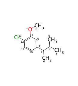 COc1cc(C(C)C(C)C)ccc1Cl